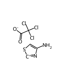 NC1=CS[C+]=N1.O=C([O-])C(Cl)(Cl)Cl